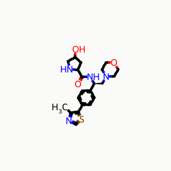 Cc1ncsc1-c1ccc([C@H](CN2CCOCC2)NC(=O)C2CC(O)CN2)cc1